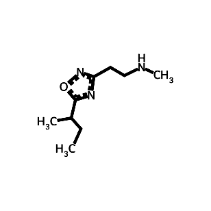 CCC(C)c1nc(CCNC)no1